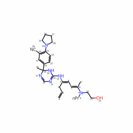 C=CC/C(=C\C=C(/C)N(CCC)CCO)NC1=NC=NC(C)(c2ccc(N3CCCC3)c(C#N)c2)N1